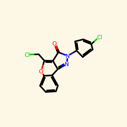 O=c1c2c(CCl)oc3ccccc3c-2nn1-c1ccc(Cl)cc1